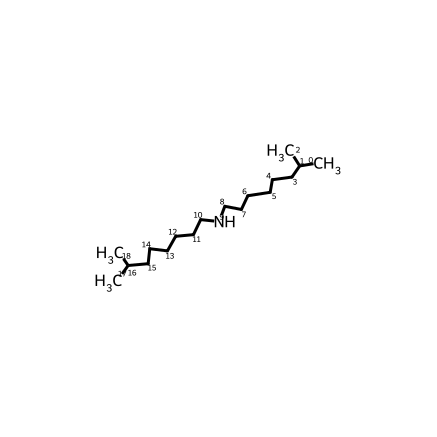 CC(C)CCCCCCNCCCCCCC(C)C